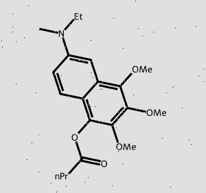 CCCC(=O)Oc1c(OC)c(OC)c(OC)c2cc(N(C)CC)ccc12